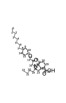 CCCCCCCCc1ccc(OCC(=O)Cn2c(CCCC)cc3c(C(=O)O)cccc32)cc1